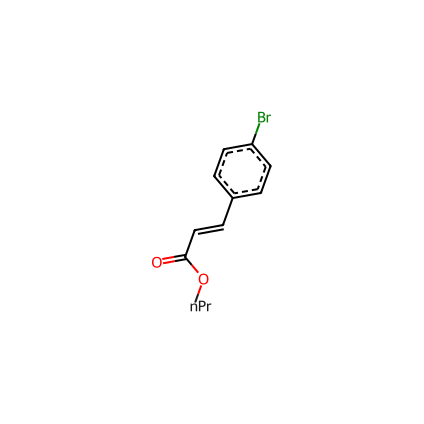 CCCOC(=O)C=Cc1ccc(Br)cc1